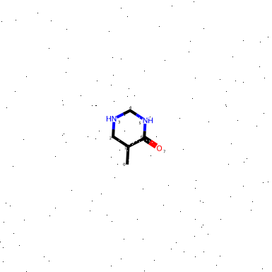 CC1CNCNC1=O